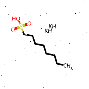 CCCCCCCCS(=O)(=O)O.[KH].[KH]